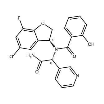 NC(=O)[C@@H](c1cccnc1)N(C(=O)c1ccccc1O)[C@@H]1COc2c(F)cc(Cl)cc21